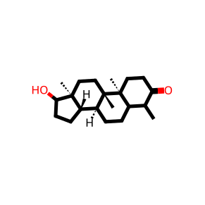 CC1C(=O)CC[C@@]2(C)C1CC[C@H]1[C@@H]3CCC(O)[C@@]3(C)CC[C@@]12C